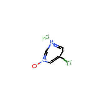 Cl.[O-][n+]1cncc(Cl)c1